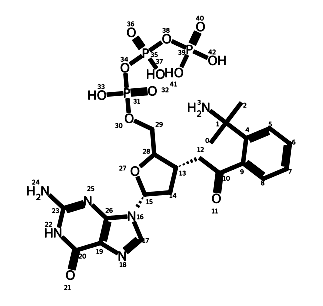 CC(C)(N)c1ccccc1C(=O)C[C@@H]1C[C@H](n2cnc3c(=O)[nH]c(N)nc32)OC1COP(=O)(O)OP(=O)(O)OP(=O)(O)O